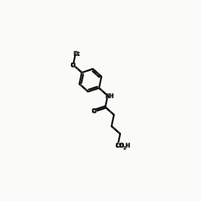 CCOc1ccc(NC(=O)CCCC(=O)O)cc1